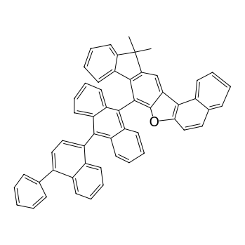 CC1(C)c2ccccc2-c2c1cc1c(oc3ccc4ccccc4c31)c2-c1c2ccccc2c(-c2ccc(-c3ccccc3)c3ccccc23)c2ccccc12